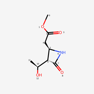 COC(=O)C[C@H]1NC(=O)[C@@H]1[C@H](C)O